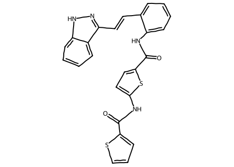 O=C(Nc1ccc(C(=O)Nc2ccccc2/C=C/c2n[nH]c3ccccc23)s1)c1cccs1